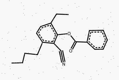 CCCCc1ccc(CC)c(OC(=O)c2ccccc2)c1C#N